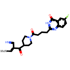 CN/C=C(\C=N)C(=O)C1CCN(C(=O)CCCc2nc3ccc(F)cc3c(=O)[nH]2)CC1